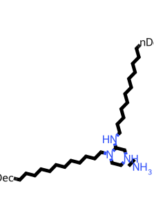 CC.CCCCCCCCCCCCCCCCCCCCCCNC1CNCCN1CCCCCCCCCCCCCCCCCCCCCC.N